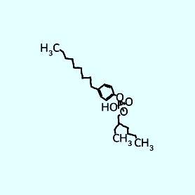 CCCCCCCCCc1ccc(OP(=O)(O)OCC(CC)CCCC)cc1